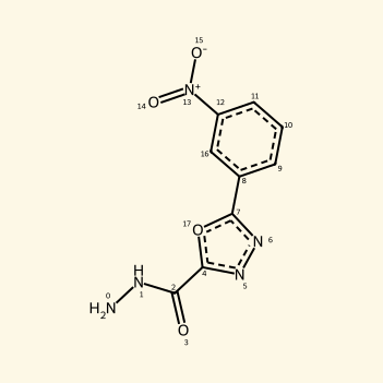 NNC(=O)c1nnc(-c2cccc([N+](=O)[O-])c2)o1